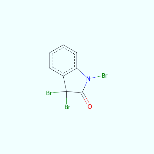 O=C1N(Br)c2ccccc2C1(Br)Br